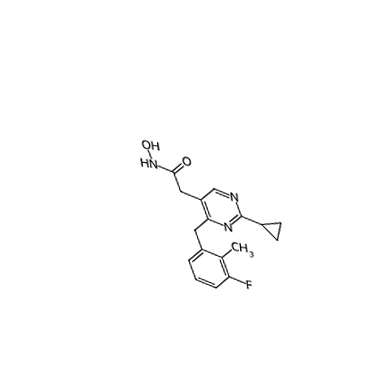 Cc1c(F)cccc1Cc1nc(C2CC2)ncc1CC(=O)NO